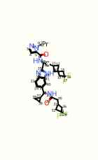 CC(C)n1nccc1C(=O)N[C@@H](CC1CC2(C1)CC(F)(F)C2)c1nc2ccc([C@H](NC(=O)CC3CC(F)(F)C3)C3CC3)cc2[nH]1